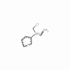 C=C[SiH](CCl)c1ccccc1